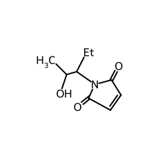 CCC(C(C)O)N1C(=O)C=CC1=O